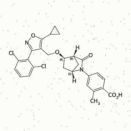 Cc1cc(N2C(=O)[C@@H]3C[C@H]2C[C@H]3OCc2c(-c3c(Cl)cccc3Cl)noc2C2CC2)ccc1C(=O)O